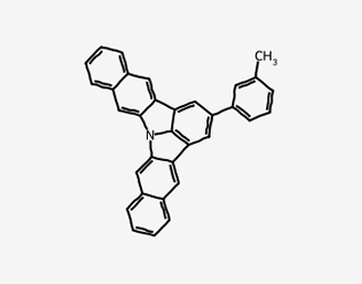 Cc1cccc(-c2cc3c4cc5ccccc5cc4n4c5cc6ccccc6cc5c(c2)c34)c1